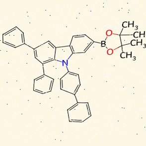 CC1(C)OB(c2ccc3c4cc(-c5ccccc5)cc(-c5ccccc5)c4n(-c4ccc(-c5ccccc5)cc4)c3c2)OC1(C)C